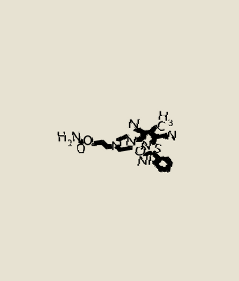 CCc1c(C#N)c(SC(C(N)=O)c2ccccc2)nc(N2CCN(CCCOC(N)=O)CC2)c1C#N